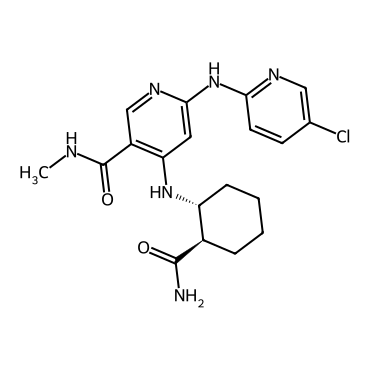 CNC(=O)c1cnc(Nc2ccc(Cl)cn2)cc1N[C@@H]1CCCC[C@H]1C(N)=O